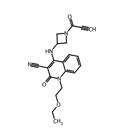 C#CC(=O)N1CC(Nc2c(C#N)c(=O)n(CCOCC)c3ccccc23)C1